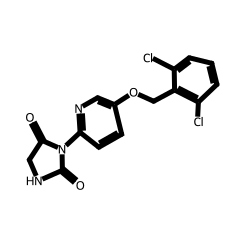 O=C1CNC(=O)N1c1ccc(OCc2c(Cl)cccc2Cl)cn1